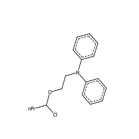 CCCC(Cl)OCCN(c1ccccc1)c1ccccc1